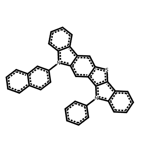 c1ccc(-n2c3ccccc3c3sc4cc5c6ccccc6n(-c6ccc7ccccc7c6)c5cc4c32)cc1